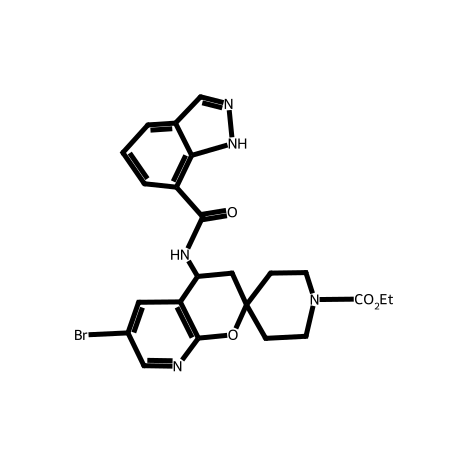 CCOC(=O)N1CCC2(CC1)CC(NC(=O)c1cccc3cn[nH]c13)c1cc(Br)cnc1O2